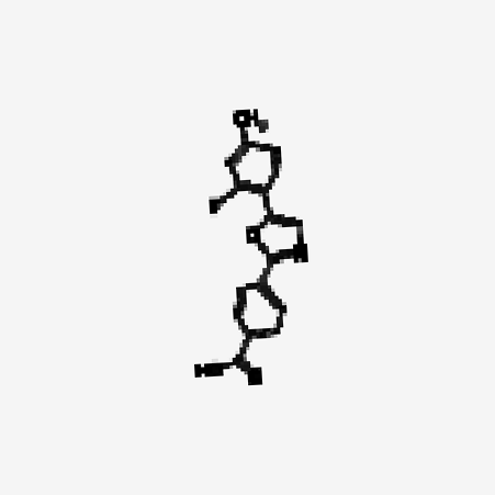 Cc1ccc(-c2cnc(-c3ccc(C(=O)O)cc3)o2)c(F)c1